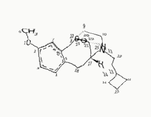 COc1ccc2c(c1)[C@]13CCN(CC4CCC4)[C@H](C2)[C@@H]1OCOC3